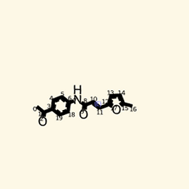 CC(=O)c1ccc(NC(=O)/C=C/c2ccc(C)o2)cc1